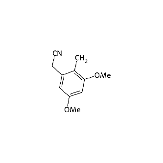 COc1cc(CC#N)c(C)c(OC)c1